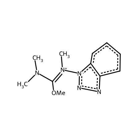 CO/C(N(C)C)=[N+](/C)n1nnc2ccccc21